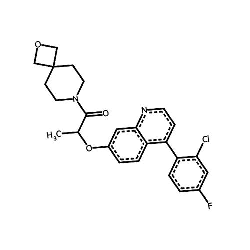 CC(Oc1ccc2c(-c3ccc(F)cc3Cl)ccnc2c1)C(=O)N1CCC2(CC1)COC2